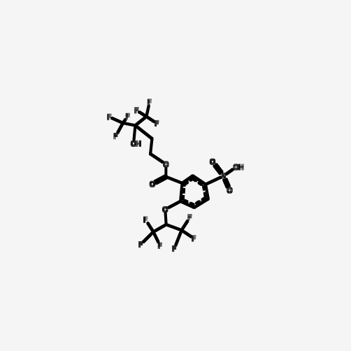 O=C(OCCC(O)(C(F)(F)F)C(F)(F)F)c1cc(S(=O)(=O)O)ccc1OC(C(F)(F)F)C(F)(F)F